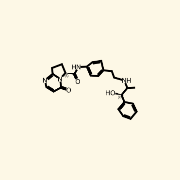 CC(NCCc1ccc(NC(=O)[C@@H]2CCc3nccc(=O)n32)cc1)[C@H](O)c1ccccc1